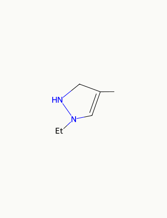 CCN1C=C(C)CN1